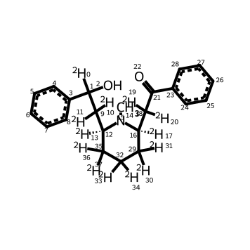 [2H]C(O)(c1ccccc1)C([2H])([2H])[C@@]1([2H])N(C)[C@@]([2H])(C([2H])([2H])C(=O)c2ccccc2)C([2H])([2H])C([2H])([2H])C1([2H])[2H]